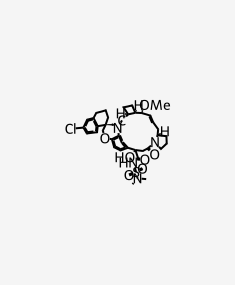 CO[C@H]1/C=C/C[C@@H]2CCCN2C(=O)C[C@](O)(C(=O)NS(=O)(=O)N(C)C)c2ccc3c(c2)N(C[C@@H]2CC[C@H]21)C[C@@]1(CCCc2cc(Cl)ccc21)CO3